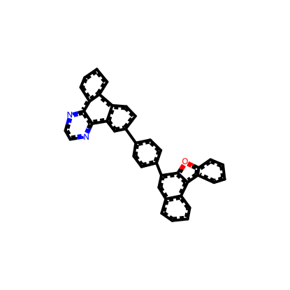 c1ccc2c(c1)cc(-c1ccc(-c3ccc4c5ccccc5c5nccnc5c4c3)cc1)c1oc3ccccc3c12